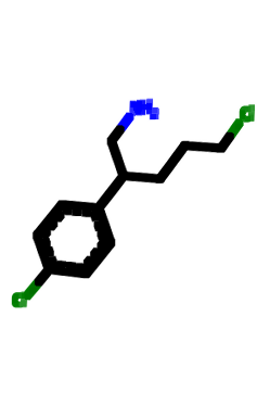 NCC(CCCCl)c1ccc(Cl)cc1